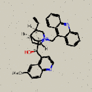 C=C[C@H]1C[N+]2(Cc3c4ccccc4nc4ccccc34)CC[C@@H]1C[C@H]2[C@H](O)c1ccnc2ccc(OC)cc12